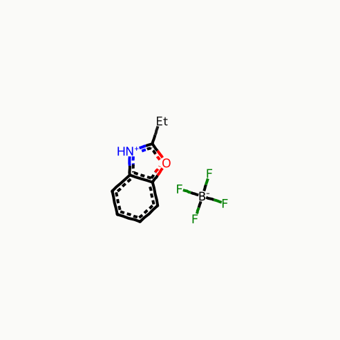 CCc1[nH+]c2ccccc2o1.F[B-](F)(F)F